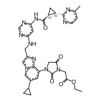 CCOC(=O)CN1C(=O)CN(c2cc(C3CC3)cn3cc(CNc4cc(NC(=O)[C@H]5C[C@@H]5c5nccc(C)n5)ncn4)nc23)C1=O